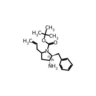 C=CCC1C[C@@H](N)[C@H](Cc2ccccc2)N1C(=O)OC(C)(C)C